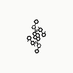 Cc1ccccc1-c1ccc(C)c(N(C2=CC(c3ccccc3)CC=C2)c2ccc3ccc4c(N(C5=CC(c6ccccc6)=CCC5)c5cc(-c6ccccc6C)ccc5C)ccc5ccc2c3c54)c1